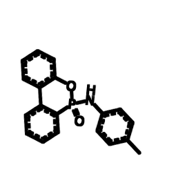 Cc1ccc(NP2(=O)Oc3ccccc3-c3ccccc32)cc1